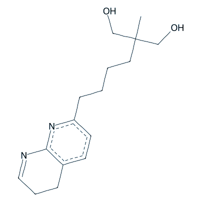 CC(CO)(CO)CCCCc1ccc2c(n1)N=CCC2